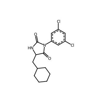 O=C1NC(CC2CCCCC2)C(=O)N1c1cc(Cl)cc(Cl)c1